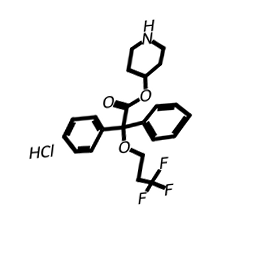 Cl.O=C(OC1CCNCC1)C(OCCC(F)(F)F)(c1ccccc1)c1ccccc1